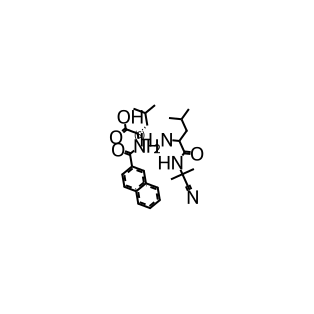 CC(C)CC(N)C(=O)NC(C)(C)C#N.CC(C)C[C@H](NC(=O)c1ccc2ccccc2c1)C(=O)O